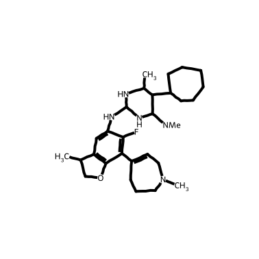 CNC1NC(Nc2cc3c(c(C4=CCN(C)CCC4)c2F)OCC3C)NC(C)C1C1CCCCCC1